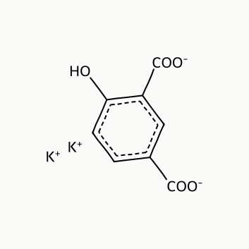 O=C([O-])c1ccc(O)c(C(=O)[O-])c1.[K+].[K+]